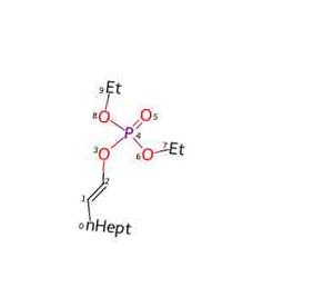 CCCCCCCC=COP(=O)(OCC)OCC